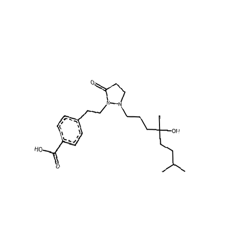 CC(C)CCC(C)(O)CCCN1CCC(=O)N1CCc1ccc(C(=O)O)cc1